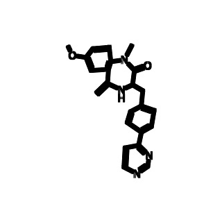 C=C1NC(Cc2ccc(-c3ccncn3)cc2)C(=O)N(C)c2ccc(OC)cc21